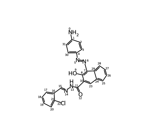 Nc1ccc(N=Nc2c(O)c(C(=O)N/N=C/c3ccccc3Cl)cc3ccccc23)cc1